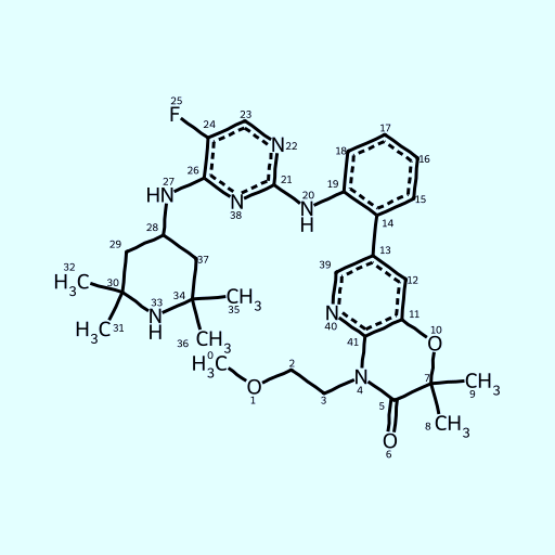 COCCN1C(=O)C(C)(C)Oc2cc(-c3ccccc3Nc3ncc(F)c(NC4CC(C)(C)NC(C)(C)C4)n3)cnc21